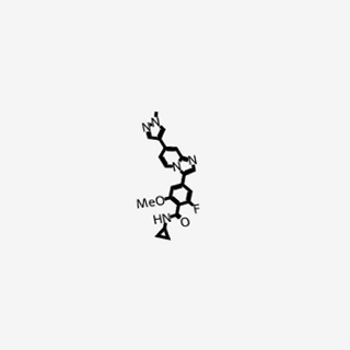 COc1cc(-c2cnc3cc(-c4cnn(C)c4)ccn23)cc(F)c1C(=O)NC1CC1